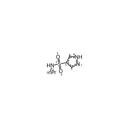 CCCNS(=O)(=O)c1cn[nH]c1